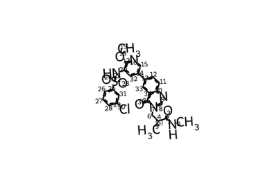 CNC(=O)[C@@H](C)Cn1cnc2ccc(-c3cnc(OC)c(NS(=O)(=O)c4cccc(Cl)c4)c3)cc2c1=O